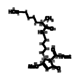 C#CCCCC[C@H](C)C(=O)NCCCC[C@H]1C(OC)=CC(=O)N1C(=O)CCCCC